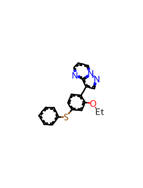 CCOc1cc(Sc2ccccc2)ccc1-c1cnn2cccnc12